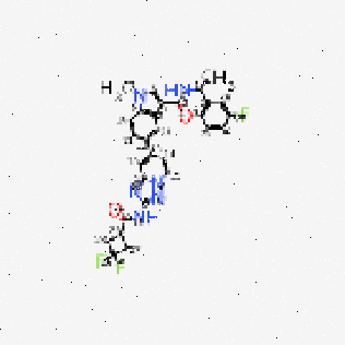 C[C@H](NC(=O)c1cn(C)c2ccc(-c3ccn4nc(NC(=O)C5CC(F)(F)C5)nc4c3)cc12)c1cccc(F)c1